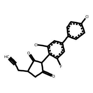 C#CCC1CC(=O)C(c2c(F)cc(-c3ccc(Cl)cc3)cc2Cl)C1=O